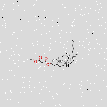 CCOC(=O)CC(=O)O[C@H]1CC[C@@]2(C)C(=CC[C@H]3C4CCC([C@H](C)CCCC(C)C)[C@@]4(C)CCC32)C1